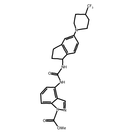 COC(=O)n1ncc2c(NC(=O)NC3CCc4cc(N5CCC(C(F)(F)F)CC5)ccc43)cccc21